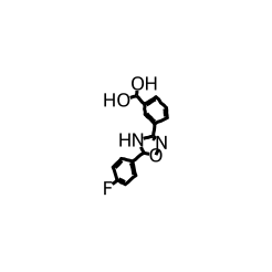 OC(O)c1cccc(C2=NOC(c3ccc(F)cc3)N2)c1